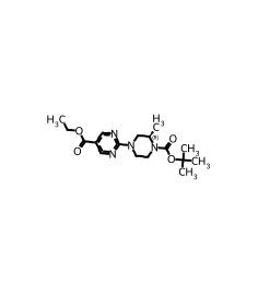 CCOC(=O)c1cnc(N2CCN(C(=O)OC(C)(C)C)[C@H](C)C2)nc1